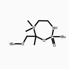 CC(C)(C)OCC1(C)OP(=O)(C(C)(C)C)NCC[N+]1(C)C